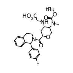 CN(C(=O)OC(C)(C)C)[C@H]1CO[C@@H](C(=O)N2CCc3ccccc3[C@@H]2c2ccc(F)cc2)C[C@@H]1NCC(=O)O